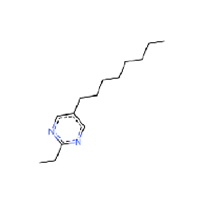 CCCCCCCCc1cnc(CC)nc1